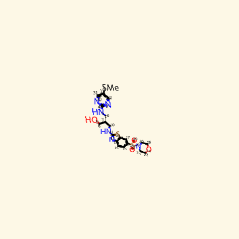 CSc1cnc(NC[C@@H](CO)CNc2nc3ccc(S(=O)(=O)N4CCOCC4)cc3s2)nc1